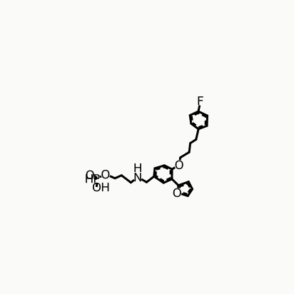 O=[PH](O)OCCCNCc1ccc(OCCCCc2ccc(F)cc2)c(-c2ccco2)c1